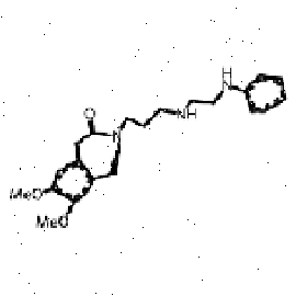 COc1cc2c(cc1OC)CC(=O)N(CCCNCCNc1ccccc1)C=C2